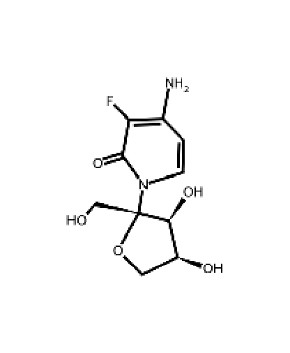 Nc1ccn([C@@]2(CO)OC[C@H](O)[C@@H]2O)c(=O)c1F